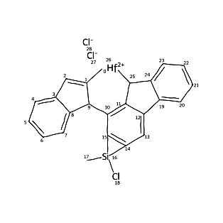 CC1=Cc2ccccc2C1c1c2c(cc3c1[Si]3(C)Cl)-c1ccccc1[CH]2[Hf+2].[Cl-].[Cl-]